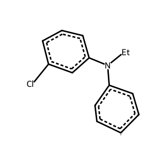 CCN(c1cc[c]cc1)c1cccc(Cl)c1